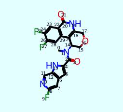 CN(C(=O)c1cc2cc(F)ncc2[nH]1)[C@@H]1COCc2[nH]c(=O)c3cc(F)c(F)cc3c21